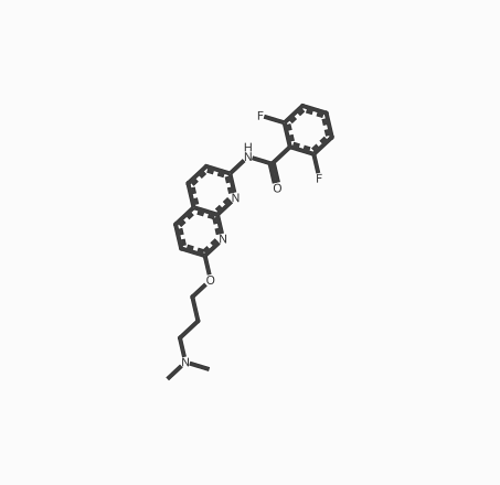 CN(C)CCCOc1ccc2ccc(NC(=O)c3c(F)cccc3F)nc2n1